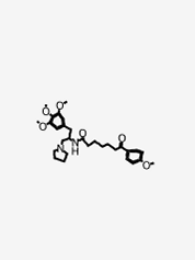 COc1ccc(C(=O)CCCCCC(=O)NC(Cc2cc(OC)c(OC)c(OC)c2)CN2CCCC2)cc1